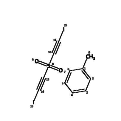 Cc1ccccc1.O=S(=O)(C#CI)C#CI